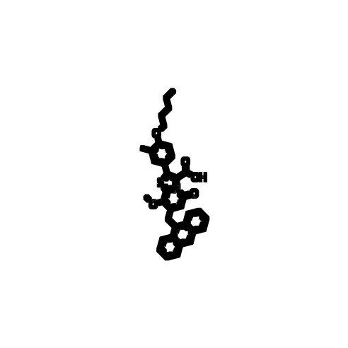 CCCCCOc1ccc(-c2sc3c(OC)c(Cc4c5ccccc5cc5ccccc45)cc(=O)n3c2C(=O)O)cc1C